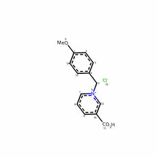 COc1ccc(C[n+]2cccc(C(=O)O)c2)cc1.[Cl-]